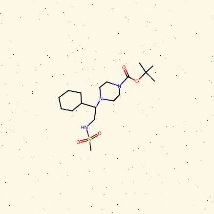 CC(C)(C)OC(=O)N1CCN(C(CNS(C)(=O)=O)C2CCCCC2)CC1